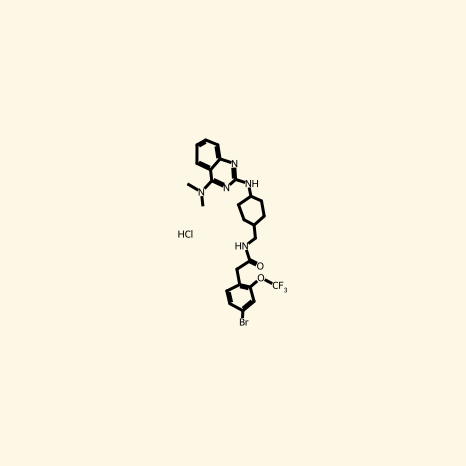 CN(C)c1nc(NC2CCC(CNC(=O)Cc3ccc(Br)cc3OC(F)(F)F)CC2)nc2ccccc12.Cl